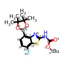 CC(C)(C)OC(=O)Nc1nc2c(B3OC(C)(C)C(C)(C)O3)ccc(F)c2s1